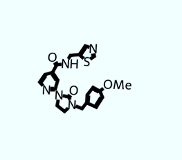 COc1ccc(CN2CCN(c3cc(C(=O)NCc4cncs4)ccn3)C2=O)cc1